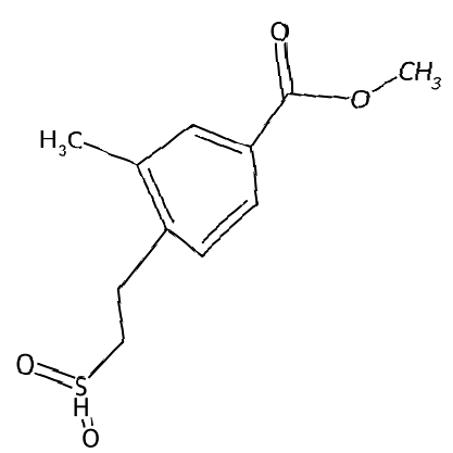 COC(=O)c1ccc(CC[SH](=O)=O)c(C)c1